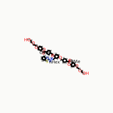 CCCCCCN(/N=C/c1cc(OCC2CCC(C(=O)Oc3ccc(OCCOCCO)cc3OC)CC2)ccc1OCC1CCC(C(=O)Oc2ccc(OCCOCCO)cc2OC)CC1)c1nc2ccccc2s1